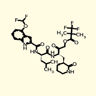 CC(C)C[C@H](NC(=O)c1cc2c(OC(F)F)cccc2[nH]1)C(=O)N[C@@H](C[C@@H]1CCCNC1=O)C(=O)COC(=O)C(C)(C)C(F)(F)F